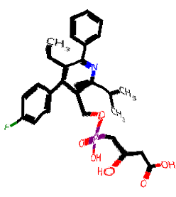 CCc1c(-c2ccccc2)nc(C(C)C)c(COP(=O)(O)CC(O)CC(=O)O)c1-c1ccc(F)cc1